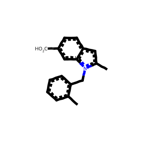 Cc1ccccc1Cn1c(C)cc2ccc(C(=O)O)cc21